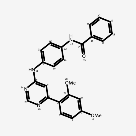 COc1ccc(-c2cc(Nc3ccc(NC(=O)c4ccccc4)cc3)ncn2)c(OC)c1